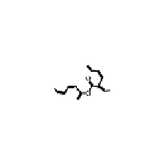 C=C/C=C\C(=C/C)C(=O)OC(=C)/C=C\C=C/C